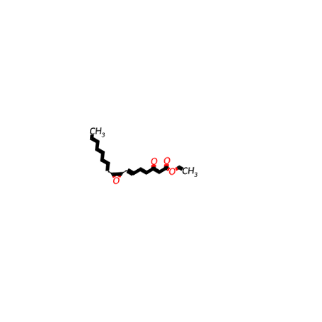 CCCCCCCC[C@H]1O[C@H]1C=CCCC(=O)CC(=O)OCC